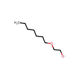 CCCCCCCOCC[O]